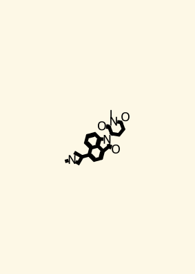 CN1CC(c2ccc3c4c(cccc24)N(C2CCC(=O)N(I)C2=O)C3=O)C1